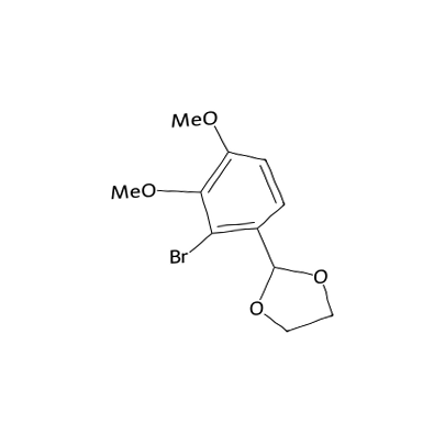 COc1ccc(C2OCCO2)c(Br)c1OC